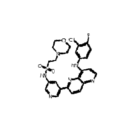 O=S(=O)(CCN1CCOCC1)Nc1cncc(-c2ccc3nccc(Nc4ccc(F)c(Cl)c4)c3n2)c1